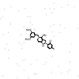 CCCCC1=C2CN(c3ccc(F)cc3Cl)NC2=CCN1Cc1cc(OC)cc(OC)c1